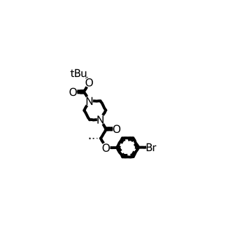 C[C@@H](Oc1ccc(Br)cc1)C(=O)N1CCN(C(=O)OC(C)(C)C)CC1